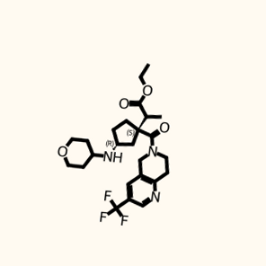 CCOC(=O)C(C)[C@]1(C(=O)N2CCc3ncc(C(F)(F)F)cc3C2)CC[C@@H](NC2CCOCC2)C1